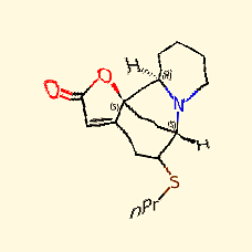 CCCSC1CC2=CC(=O)O[C@@]23CC[C@@H]1N1CCCC[C@@H]13